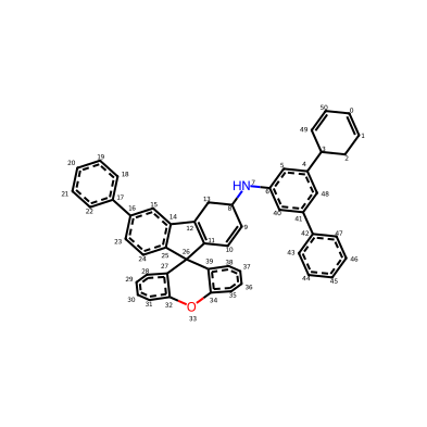 C1=CCC(c2cc(NC3C=CC4=C(C3)c3cc(-c5ccccc5)ccc3C43c4ccccc4Oc4ccccc43)cc(-c3ccccc3)c2)C=C1